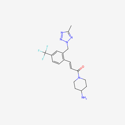 Cc1nnn(Cc2cc(C(F)(F)F)ccc2C=CC(=O)N2CCC(N)CC2)n1